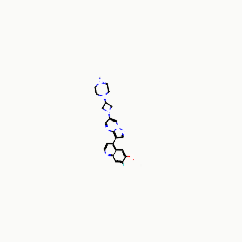 COc1cc2c(-c3cnn4cc(N5CC(N6CCN(C)CC6)C5)cnc34)ccnc2cc1F